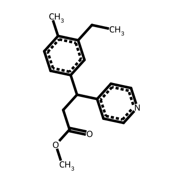 CCc1cc(C(CC(=O)OC)c2ccncc2)ccc1C